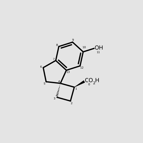 O=C(O)[C@H]1CC[C@@]12CCc1ccc(O)cc12